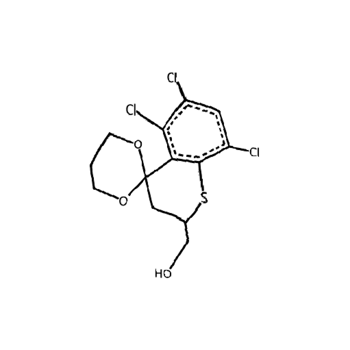 OCC1CC2(OCCCO2)c2c(Cl)c(Cl)cc(Cl)c2S1